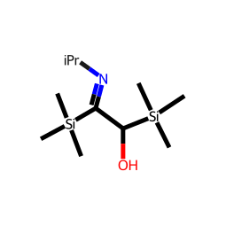 CC(C)N=C(C(O)[Si](C)(C)C)[Si](C)(C)C